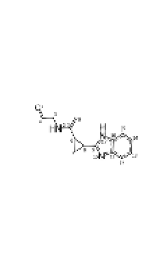 C=C(NCC=O)C1CC1c1nc2ccccc2[nH]1